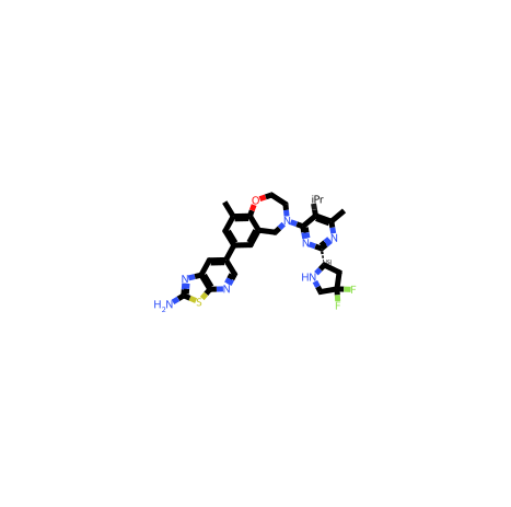 Cc1cc(-c2cnc3sc(N)nc3c2)cc2c1OCCN(c1nc([C@@H]3CC(F)(F)CN3)nc(C)c1C(C)C)C2